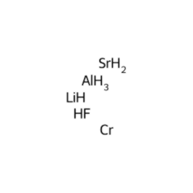 F.[AlH3].[Cr].[LiH].[SrH2]